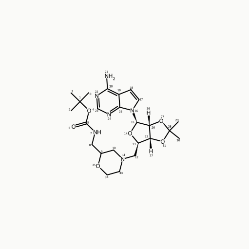 CC(C)(C)OC(=O)NCC1CN(C[C@H]2O[C@@H](n3ccc4c(N)ncnc43)[C@@H]3OC(C)(C)O[C@@H]32)CCO1